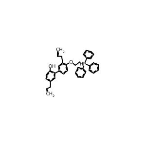 C=CCc1ccc(O)c(-c2ccc(OCC[PH](c3ccccc3)(c3ccccc3)c3ccccc3)c(CC=C)c2)c1